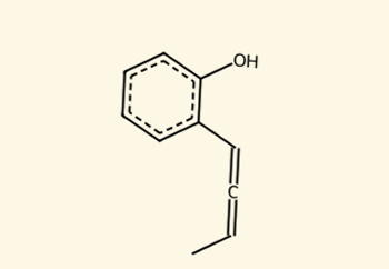 CC=C=Cc1ccccc1O